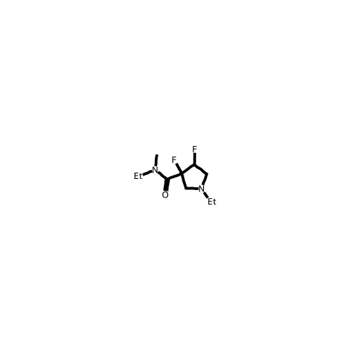 CCN1CC(F)C(F)(C(=O)N(C)CC)C1